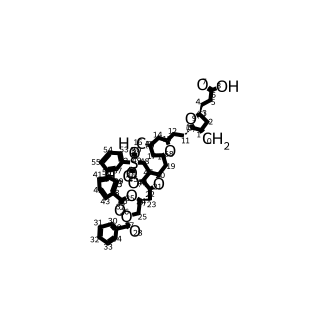 C=C1C[C@H](CCC(=O)O)O[C@H]1CCC1C[C@@H](C)CC(CC2OC(C[C@@H](COC(=O)c3ccccc3)OC(=O)c3ccccc3)[C@H](OC)C2CS(=O)(=O)c2ccccc2)O1